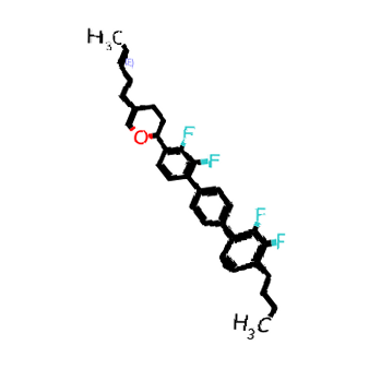 C/C=C/CCC1CCC(c2ccc(-c3ccc(-c4ccc(CCCC)c(F)c4F)cc3)c(F)c2F)OC1